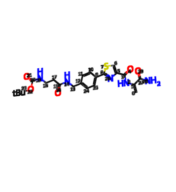 C=C(NC(=O)c1csc(-c2ccc(CNC(=O)CCNC(=O)OC(C)(C)C)cc2)n1)C(N)=O